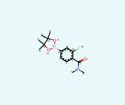 CN(C)C(=O)c1ccc(B2OC(C)(C)C(C)(C)O2)cc1F